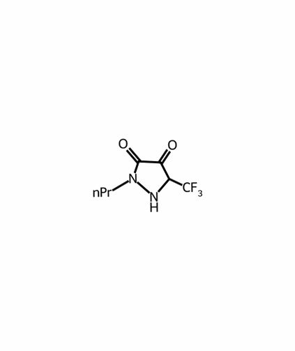 CCCN1NC(C(F)(F)F)C(=O)C1=O